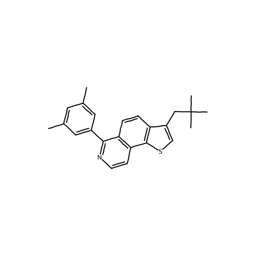 Cc1cc(C)cc(-c2nccc3c2ccc2c(CC(C)(C)C)csc23)c1